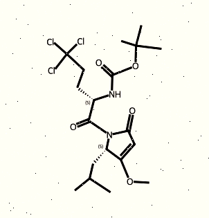 COC1=CC(=O)N(C(=O)[C@H](CCC(Cl)(Cl)Cl)NC(=O)OC(C)(C)C)[C@H]1CC(C)C